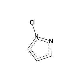 Cln1cc[c]n1